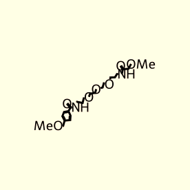 COCC(=O)NCCCOCCOCCOCCCNC(=O)c1ccc(COC)cc1